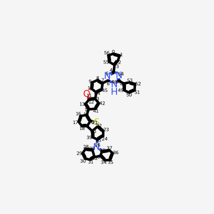 c1ccc(C2=NC(c3ccc4oc5cc(-c6cccc7c6sc6ccc(-n8c9ccccc9c9ccccc98)cc67)ccc5c4c3)NC(c3ccccc3)=N2)cc1